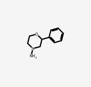 NN1CCOC(c2ccccc2)C1